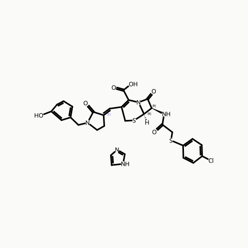 O=C(CSc1ccc(Cl)cc1)N[C@@H]1C(=O)N2C(C(=O)O)=C(/C=C3\CCN(Cc4cccc(O)c4)C3=O)CS[C@H]12.c1c[nH]cn1